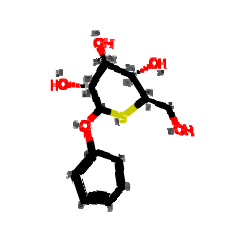 OC[C@H]1SC(Oc2ccccc2)[C@H](O)[C@@H](O)[C@@H]1O